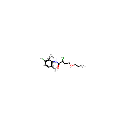 CCCOCCC(Cl)C(=O)Nc1c(C)ccc(F)c1C